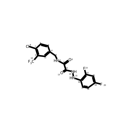 O=C(NCc1ccc(Cl)c(C(F)(F)F)c1)C(=O)NNc1ccc(F)cc1F